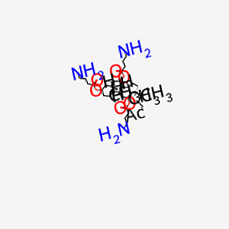 CC(=O)CC[C@@H](C)[C@H]1CC[C@H]2[C@@H]3[C@H](OC(=O)CCCN)C[C@@H]4C[C@H](OC(=O)CCCN)CC[C@]4(C)[C@H]3C[C@H](OC(=O)CCCN)[C@]12C